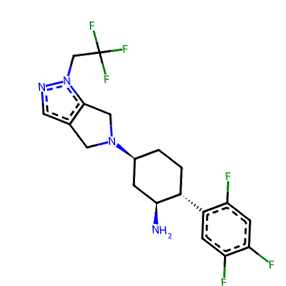 N[C@H]1C[C@@H](N2Cc3cnn(CC(F)(F)F)c3C2)CC[C@@H]1c1cc(F)c(F)cc1F